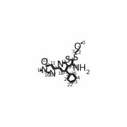 COCCSc1sc2nc(-c3cc(=O)n(C)cn3)cc(-c3ccccc3)c2c1N